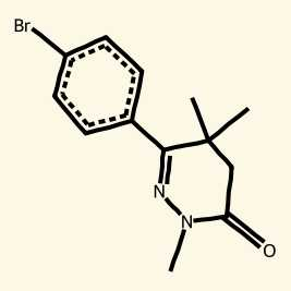 CN1N=C(c2ccc(Br)cc2)C(C)(C)CC1=O